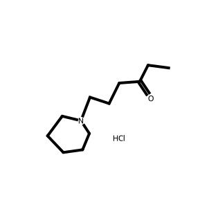 CCC(=O)CCCN1CCCCC1.Cl